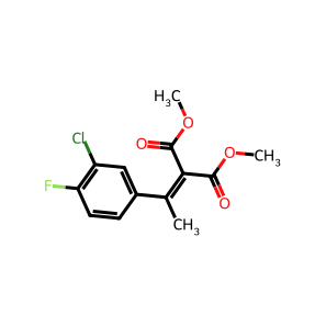 COC(=O)C(C(=O)OC)=C(C)c1ccc(F)c(Cl)c1